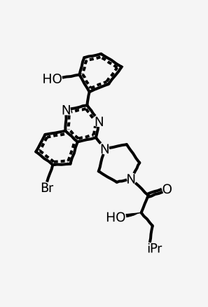 CC(C)C[C@@H](O)C(=O)N1CCN(c2nc(-c3ccccc3O)nc3ccc(Br)cc23)CC1